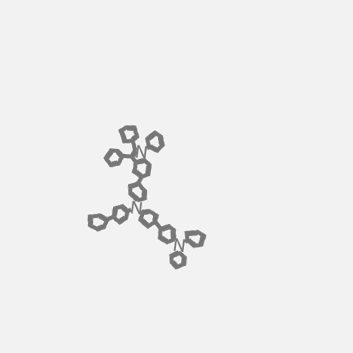 c1ccc(-c2ccc(N(c3ccc(-c4ccc(N(c5ccccc5)c5ccccc5)cc4)cc3)c3ccc(-c4ccc5c(c4)c(-c4ccccc4)c(-c4ccccc4)n5-c4ccccc4)cc3)cc2)cc1